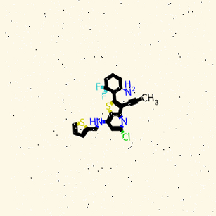 CC#Cc1c(C2[C@@H](N)CCCC2(F)F)sc2c(NCc3cccs3)cc(Cl)nc12